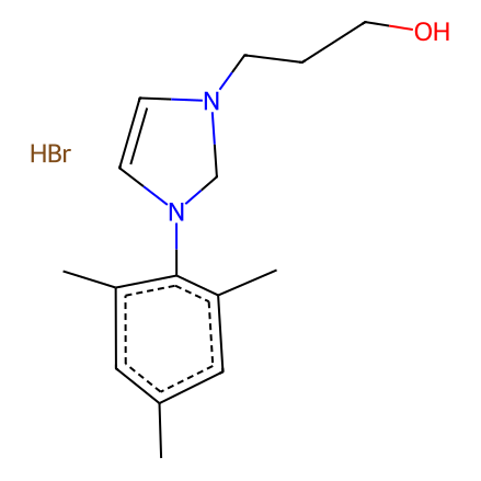 Br.Cc1cc(C)c(N2C=CN(CCCO)C2)c(C)c1